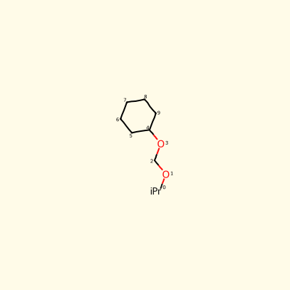 CC(C)OCOC1CCCCC1